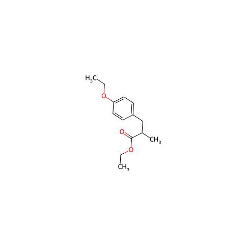 CCOC(=O)C(C)Cc1ccc(OCC)cc1